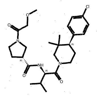 COCC(=O)N1CC[C@@H](C(=O)N[C@@H](C(=O)N2CC[C@H](c3ccc(Cl)cc3)C(C)(C)C2)C(C)C)C1